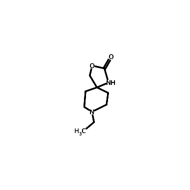 CCN1CCC2(CC1)COC(=O)N2